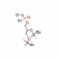 CCOP(=O)(CC)OCC(CO[Si](C)(C)C(C)(C)C)O[Si](C)(C)C(C)(C)C